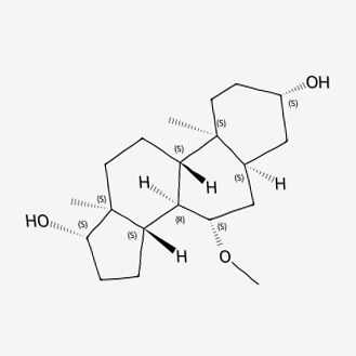 CO[C@H]1C[C@@H]2C[C@@H](O)CC[C@]2(C)[C@H]2CC[C@]3(C)[C@@H](O)CC[C@H]3[C@H]12